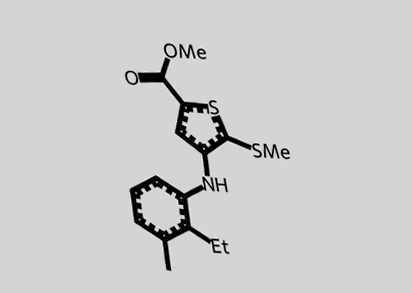 CCc1c(C)cccc1Nc1cc(C(=O)OC)sc1SC